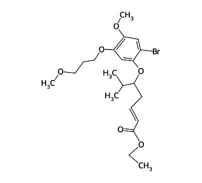 CCOC(=O)C=CCC(Oc1cc(OCCCOC)c(OC)cc1Br)C(C)C